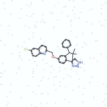 CC(C)(C)C(c1ccccc1)c1cc(OCc2ccc3cc(F)ccc3n2)ccc1-c1c[nH]nn1